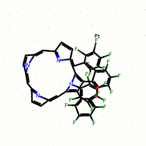 Fc1c(F)c(F)c(-c2c(-c3c(F)c(F)c(F)c(F)c3F)c3c(-c4c(F)c(F)c(F)c(F)c4F)c4nc(cc5ccc(cc6nc(cc2n3-c2c(F)c(F)c(F)c(F)c2F)C=C6)[nH]5)C=C4)c(F)c1F.[Pt]